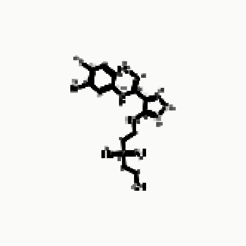 N=S(=N)(CCO)CCNc1nonc1/C(=N/O)Nc1ccc(F)c(Br)c1